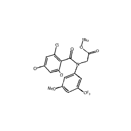 COc1cc(N(CC(=O)OC(C)(C)C)C(=O)c2c(Cl)cc(Cl)cc2Cl)cc(C(F)(F)F)c1